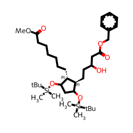 COC(=O)CCCCCC[C@H]1C(O[Si](C)(C)C(C)(C)C)CC(O[Si](C)(C)C(C)(C)C)[C@@H]1CCC(O)CC(=O)OCc1ccccc1